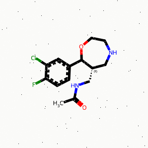 CC(=O)NC[C@H]1CNCCOC1c1ccc(F)c(Cl)c1